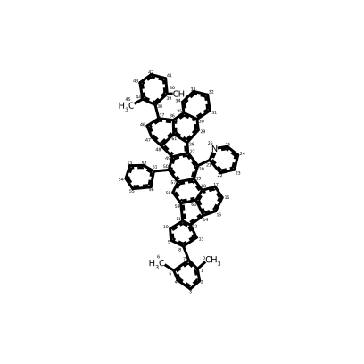 Cc1cccc(C)c1-c1ccc2c(c1)c1cccc3c4c(-c5ccccn5)c5c6cc7ccccc7c7c(-c8c(C)cccc8C)ccc(c5c(-c5ccccc5)c4cc2c13)c67